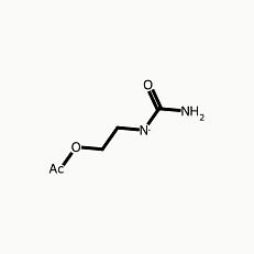 CC(=O)OCC[N]C(N)=O